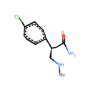 CC(C)(C)NC[C@H](C(N)=O)c1ccc(Cl)cc1